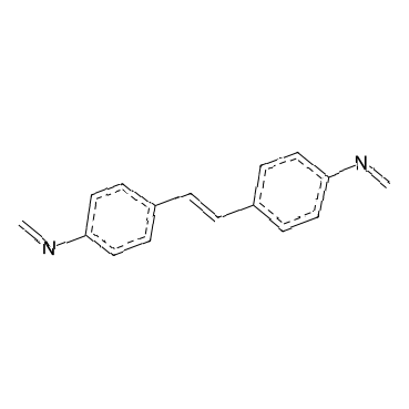 C=Nc1ccc(C=Cc2ccc(N=C)cc2)cc1